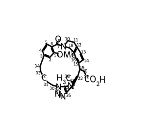 COc1cc2ccc1C(=O)N1CCc3ccc(cc3C1)C(CC(=O)O)c1cnc3c(nnn3CCCCC2)c1C